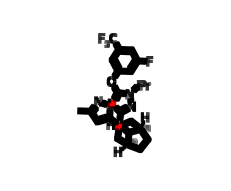 Cc1cc(N2C[C@H]3CC[C@@H](C2)C3Nc2nc(Oc3cc(F)cc(C(F)(F)F)c3)n(C(C)C)n2)sn1